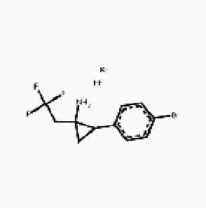 F.NC1(CC(F)(F)F)CC1c1ccc(Br)cc1.[K]